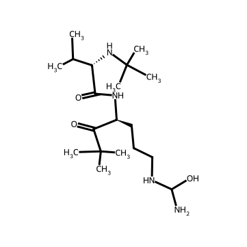 CC(C)[C@H](NC(C)(C)C)C(=O)N[C@@H](CCCNC(N)O)C(=O)C(C)(C)C